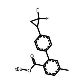 Cc1ccc(C(=O)OC(C)(C)C)c(-c2ccc(C3CC3(F)F)cc2)c1